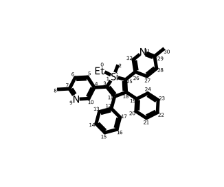 CC[Si]1(C)C(c2ccc(C)nc2)=C(c2ccccc2)C(c2ccccc2)=C1c1ccc(C)nc1